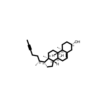 CC#CCC[C@@H](C)[C@H]1CC[C@H]2[C@@H]3CC=C4C[C@@H](O)CC[C@]4(C)[C@H]3CC[C@]12C